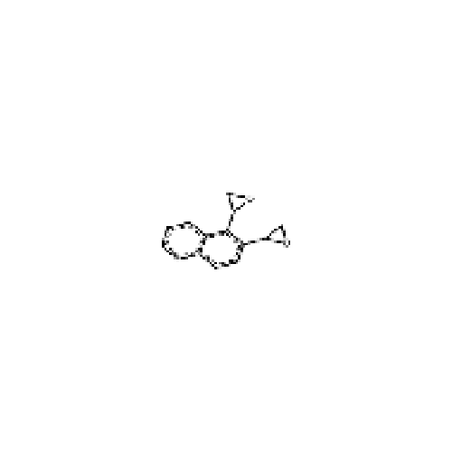 c1ccc2c(C3CO3)c(C3CO3)ccc2c1